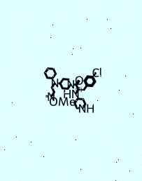 CON(C)CCN(C1CCCCC1)C1CCN(C(=O)[C@@H](Cc2ccc(Cl)cc2)NC2CCNCC2)CC1